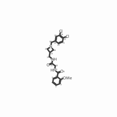 COc1ccccc1C(=O)NCC(=O)NCC1CN(Cc2ccc(Cl)c(Cl)c2)C1